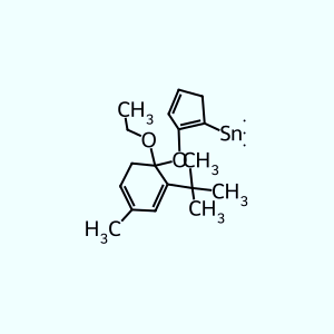 CCOC1(OC2=[C]([Sn])CC=C2)CC=C(C)C=C1C(C)(C)C